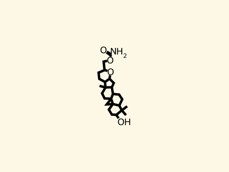 CC1(C)C(O)CCC23CC24CCC2(C)C5CCC(COC(N)=O)OC5CC2C4CCC13